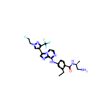 CCc1cc(Nc2nccn3c(-c4cn(CCF)nc4C(F)(F)F)cnc23)ccc1C(=O)N[C@@H](C)CN